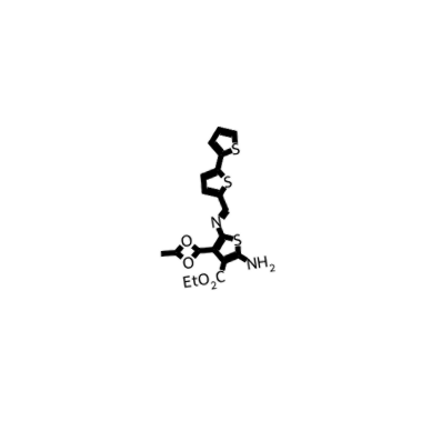 CCOC(=O)c1c(N)sc(/N=C/c2ccc(-c3cccs3)s2)c1C1OC(C)O1